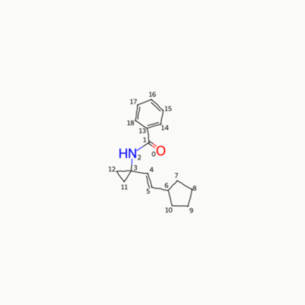 O=C(NC1(C=CC2CCCC2)CC1)c1ccccc1